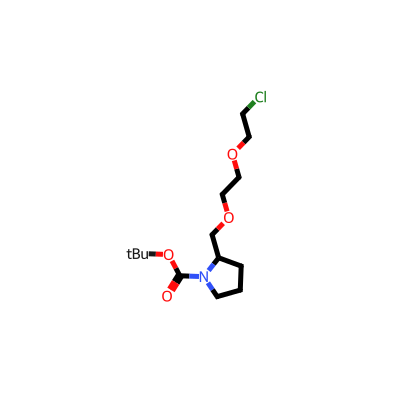 CC(C)(C)OC(=O)N1CCCC1COCCOCCCl